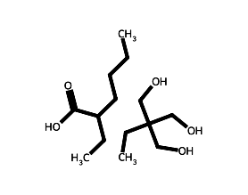 CCC(CO)(CO)CO.CCCCC(CC)C(=O)O